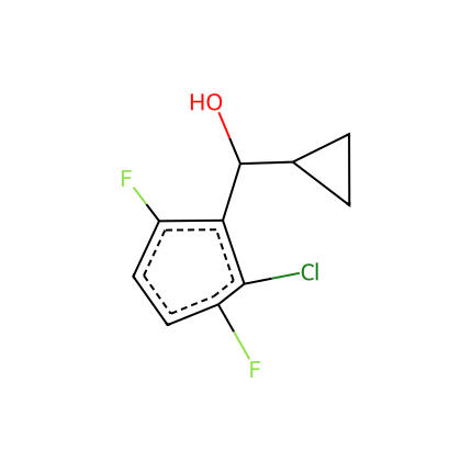 OC(c1c(F)ccc(F)c1Cl)C1CC1